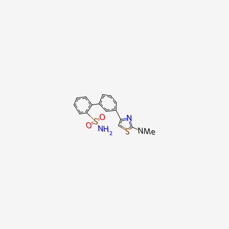 CNc1nc(-c2cccc(-c3ccccc3S(N)(=O)=O)c2)cs1